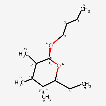 CCCCO[C@H]1OC(CC)[C@H](C)C(C)C1C